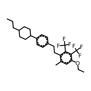 CCCC1CCC(c2ccc(CCc3c(C)cc(OCC)c(C(F)(F)F)c3C(F)(F)F)cc2)CC1